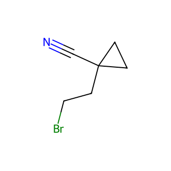 N#CC1(CCBr)CC1